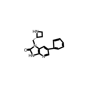 O=c1[nH]c2ncc(-c3ccccc3)cc2n1C[C@H]1CCN1